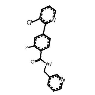 O=C(NCc1cccnc1)c1ccc(-c2ncccc2Cl)cc1F